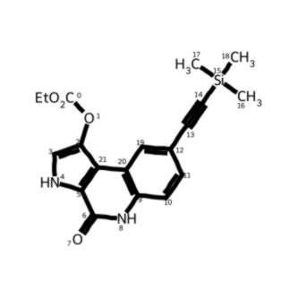 CCOC(=O)Oc1c[nH]c2c(=O)[nH]c3ccc(C#C[Si](C)(C)C)cc3c12